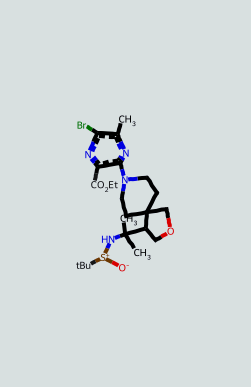 CCOC(=O)c1nc(Br)c(C)nc1N1CCC2(CC1)COCC2C(C)(C)N[S+]([O-])C(C)(C)C